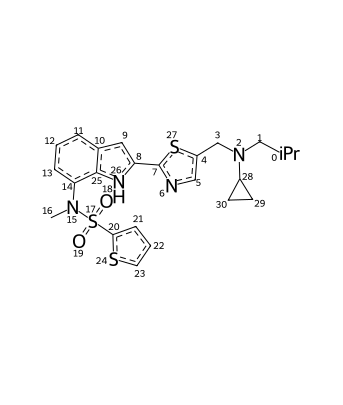 CC(C)CN(Cc1cnc(-c2cc3cccc(N(C)S(=O)(=O)c4cccs4)c3[nH]2)s1)C1CC1